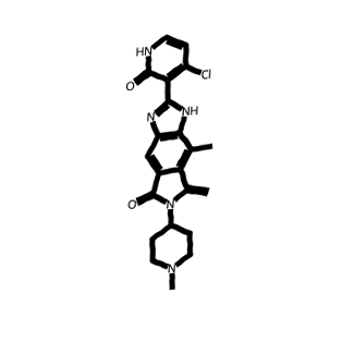 C=C1c2c(cc3nc(-c4c(Cl)cc[nH]c4=O)[nH]c3c2C)C(=O)N1C1CCN(C)CC1